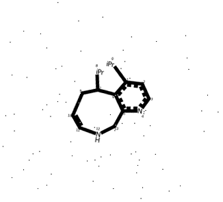 CC(C)c1ccnc2c1C(C(C)C)C/C=C\NC2